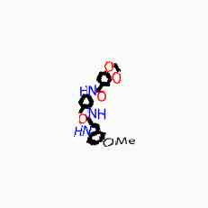 COc1ccc2[nH]c(C(=O)Nc3cc(NC(=O)c4ccc5c(c4)OCCO5)ccc3C)cc2c1